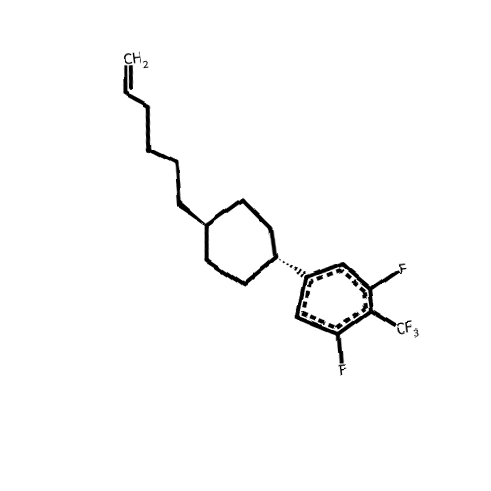 C=CCCCC[C@H]1CC[C@H](c2cc(F)c(C(F)(F)F)c(F)c2)CC1